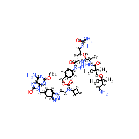 CCCCOc1nc(N)c2nc(O)n(Cc3ccc4c(c3)nnn4CCN(C(=O)OCc3ccc(NC(=O)[C@H](CCCNC(N)=O)NC(=O)C(NC(=O)C(C)(C)COC(C)(C)CCN)C(C)C)cc3)C3CCC3)c2n1